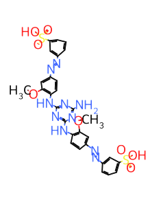 COc1cc(N=Nc2cccc(S(=O)(=O)O)c2)ccc1Nc1nc(N)nc(Nc2ccc(N=Nc3cccc(S(=O)(=O)O)c3)cc2OC)n1